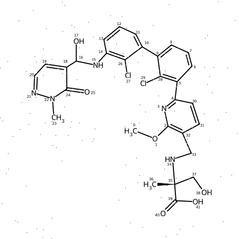 COc1nc(-c2cccc(-c3cccc(NC(O)c4ccnn(C)c4=O)c3Cl)c2Cl)ccc1CN[C@](C)(CO)C(=O)O